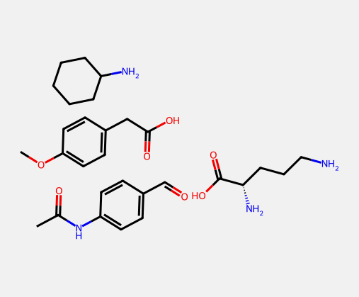 CC(=O)Nc1ccc(C=O)cc1.COc1ccc(CC(=O)O)cc1.NC1CCCCC1.NCCC[C@H](N)C(=O)O